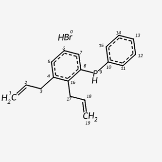 Br.C=CCc1cccc(Pc2ccccc2)c1CC=C